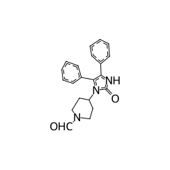 O=CN1CCC(n2c(-c3ccccc3)c(-c3ccccc3)[nH]c2=O)CC1